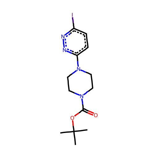 CC(C)(C)OC(=O)N1CCN(c2ccc(I)nn2)CC1